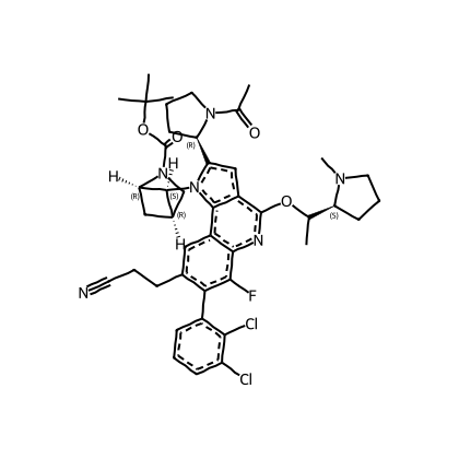 CC(=O)N1CCC[C@@H]1c1cc2c(OC(C)[C@@H]3CCCN3C)nc3c(F)c(-c4cccc(Cl)c4Cl)c(CCC#N)cc3c2n1[C@H]1[C@@H]2C[C@H]1N(C(=O)OC(C)(C)C)C2